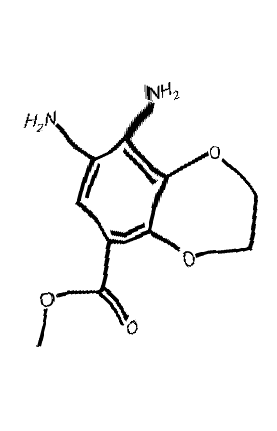 COC(=O)c1cc(N)c(N)c2c1OCCO2